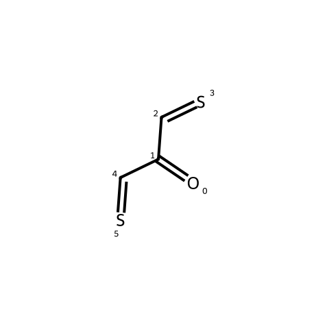 O=C(C=S)C=S